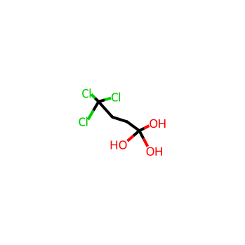 OC(O)(O)CCC(Cl)(Cl)Cl